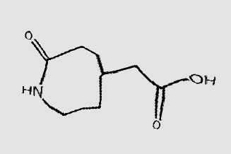 O=C(O)CC1CCNC(=O)C1